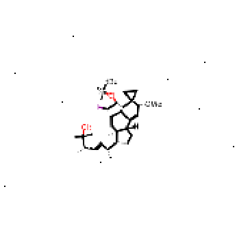 CO[C@H](/C=C1\CCC[C@]2(C)[C@@H]([C@H](C)/C=C/[C@H](C)C(C)(C)O)CC[C@@H]12)C1(C[C@H](CI)O[Si](C)(C)C(C)(C)C)CC1